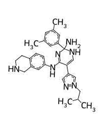 Cc1cc(C)cc(C2(N)N=C(Nc3ccc4c(c3)CNCC4)C(c3cnn(CC(C)C)c3)=CN2)c1